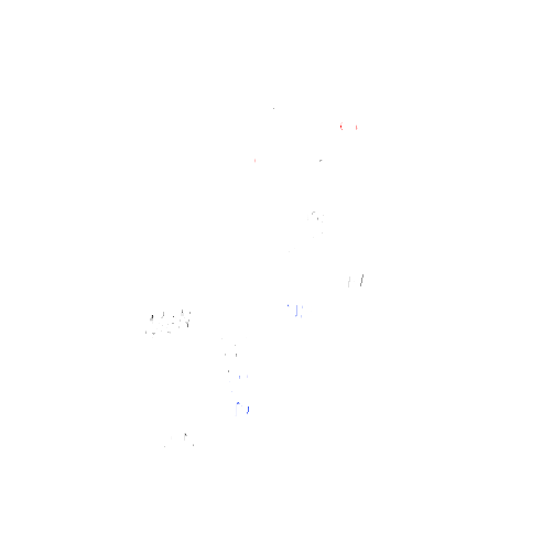 CN/C(=N\[N+](=O)[O-])N[C@@H]1CO[C@H]2OCC[C@H]21